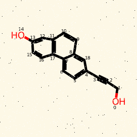 OCC#Cc1ccc2c(ccc3cc(O)ccc32)c1